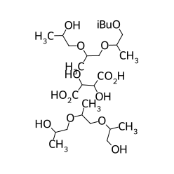 CC(C)COCC(C)OCC(C)OCC(C)O.CC(O)COC(C)COC(C)CO.O=C(O)C(O)C(O)C(=O)O